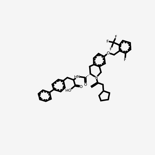 C=C(CC1CCCC1)N1Cc2cc(OCc3c(F)cccc3C(F)(F)F)ccc2C[C@H]1C(=O)NC(Cc1ccc(-c2ccccc2)cc1)C(=O)O